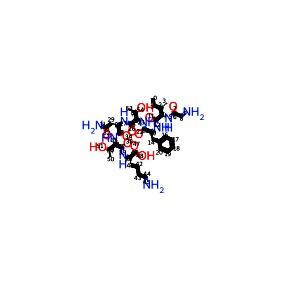 CC[C@H](C)[C@H](NC(=O)CN)C(=O)N[C@@H](Cc1ccccc1)C(=O)N[C@H](C(=O)N[C@@H](CC(N)=O)C(=O)N[C@H](C(=O)N[C@@H](CCCCN)C(=O)O)[C@@H](C)O)[C@@H](C)O